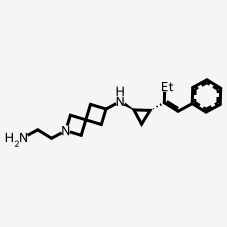 CC/C(=C\c1ccccc1)[C@@H]1C[C@H]1NC1CC2(C1)CN(CCN)C2